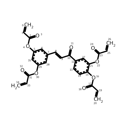 C=CC(=O)Oc1cc(/C=C/C(=O)c2ccc(OC(=O)C=C)c(OC(=O)C=C)c2)cc(OC(=O)C=C)c1